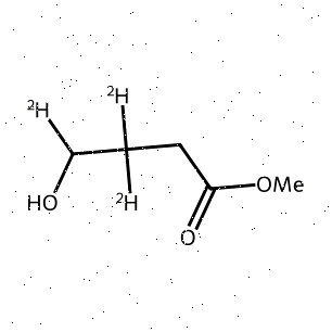 [2H]C(O)C([2H])([2H])CC(=O)OC